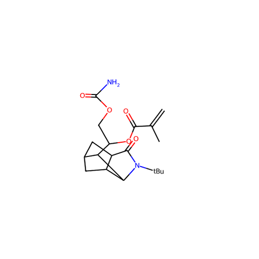 C=C(C)C(=O)OC(COC(N)=O)C1C2CC3C(=O)N(C(C)(C)C)C1C3C2